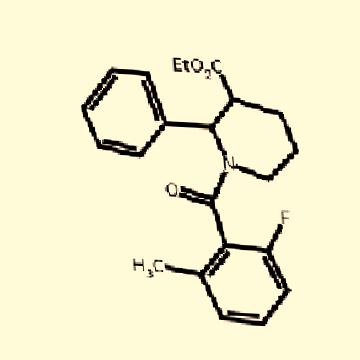 CCOC(=O)C1CCCN(C(=O)c2c(C)cccc2F)C1c1ccccc1